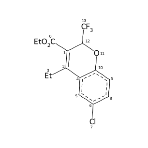 CCOC(=O)C1=C(CC)c2cc(Cl)ccc2OC1C(F)(F)F